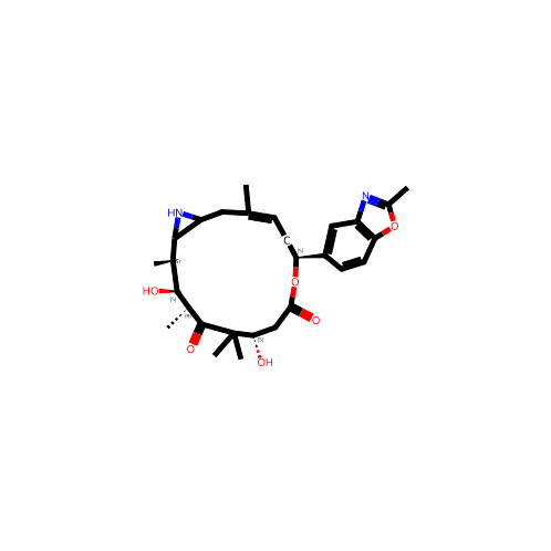 C/C1=C/C[C@@H](c2ccc3oc(C)nc3c2)OC(=O)C[C@H](O)C(C)(C)C(=O)[C@H](C)[C@@H](O)[C@@H](C)C2NC2C1